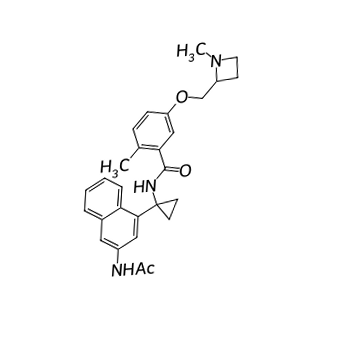 CC(=O)Nc1cc(C2(NC(=O)c3cc(OCC4CCN4C)ccc3C)CC2)c2ccccc2c1